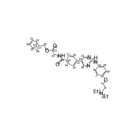 CCN(CC)CCOc1ccc(Nc2ncc(-c3ccc(C(=O)NCC(=O)OCC4CC5C=CC4C5)cc3)cn2)cc1